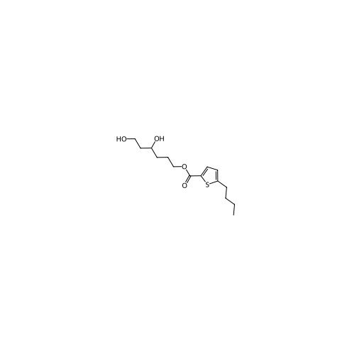 CCCCc1ccc(C(=O)OCCCC(O)CCO)s1